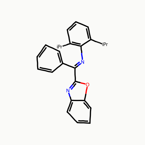 CC(C)c1cccc(C(C)C)c1/N=C(\c1ccccc1)c1nc2ccccc2o1